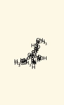 CCN(CC)CCNC(=O)c1ccc(-c2ccc(C[C@@H](C(N)=O)N(c3ccc(-c4nn[nH]n4)cc3)C(=O)[C@H]3CC[C@H](CNC(=O)OC(C)(C)C)CC3)cc2)c(C(F)(F)F)n1.O=C(O)C(F)(F)F